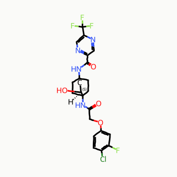 O=C(COc1ccc(Cl)c(F)c1)NC12CCC(NC(=O)c3cnc(C(F)(F)F)cn3)(CC1)C[C@@H]2O